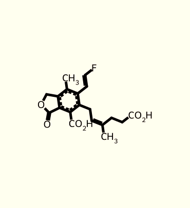 CC(=CCc1c(C=CF)c(C)c2c(c1C(=O)O)C(=O)OC2)CCC(=O)O